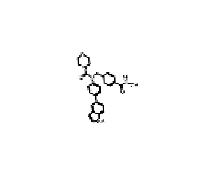 O=C(NO)c1ccc(CN(C(=O)N2CCOCC2)c2ccc(-c3ccc4[nH]ccc4c3)cc2)cc1